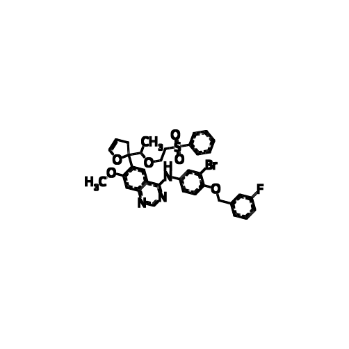 COc1cc2ncnc(Nc3ccc(OCc4cccc(F)c4)c(Br)c3)c2cc1C1(C(C)OCCS(=O)(=O)c2ccccc2)CC=CO1